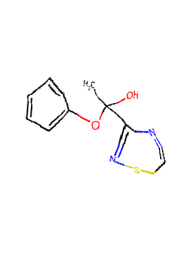 CC(O)(Oc1ccccc1)c1ncsn1